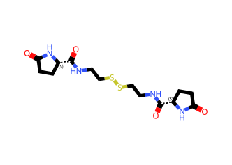 O=C1CC[C@@H](C(=O)NCCSSCCNC(=O)[C@@H]2CCC(=O)N2)N1